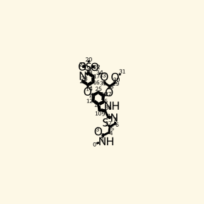 CNC(=O)CC1CN=C(c2cc3cc(Oc4ccc(S(C)(=O)=O)nc4)cc(OC(COC)COC)c3[nH]2)S1